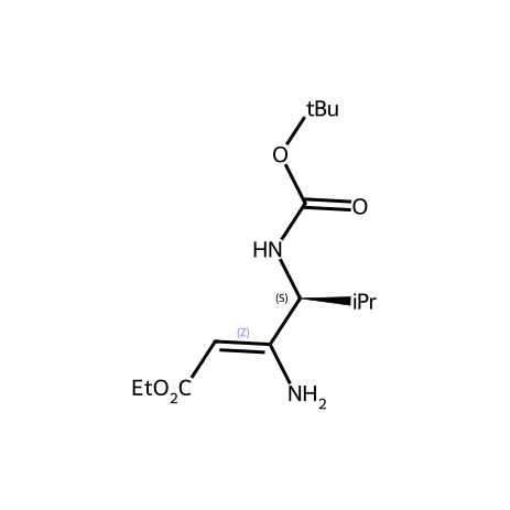 CCOC(=O)/C=C(\N)[C@@H](NC(=O)OC(C)(C)C)C(C)C